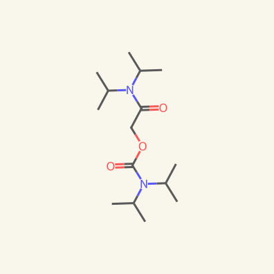 CC(C)N(C(=O)COC(=O)N(C(C)C)C(C)C)C(C)C